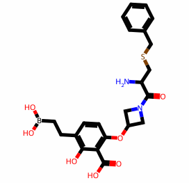 NC(CSCc1ccccc1)C(=O)N1CC(Oc2ccc(CCB(O)O)c(O)c2C(=O)O)C1